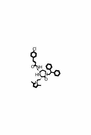 Cc1ccc(C)n1CC[C@@H]1N[C@H](CNC(=O)/C=C/c2ccc(Cl)cc2)CCN(CC(c2ccccc2)c2ccccc2)C1=O